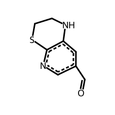 O=Cc1cnc2c(c1)NCCS2